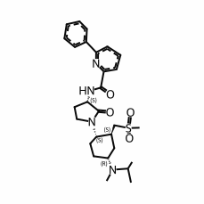 CC(C)N(C)[C@@H]1CC[C@H](N2CC[C@H](NC(=O)c3cccc(-c4ccccc4)n3)C2=O)[C@@H](CS(C)(=O)=O)C1